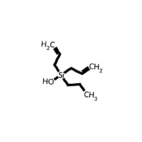 C=CC[Si](O)(CC=C)CCC